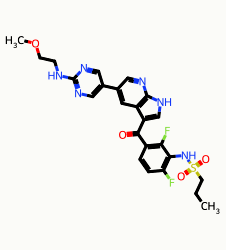 CCCS(=O)(=O)Nc1c(F)ccc(C(=O)c2c[nH]c3ncc(-c4cnc(NCCOC)nc4)cc23)c1F